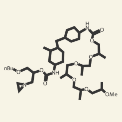 CCCCOCC(CN1CC1)OC(=O)NC1CCC(CC2CCC(NC(=O)OCC(C)OCC(C)OCC(C)OCC(C)OCC(C)OC)CC2)C(C)C1